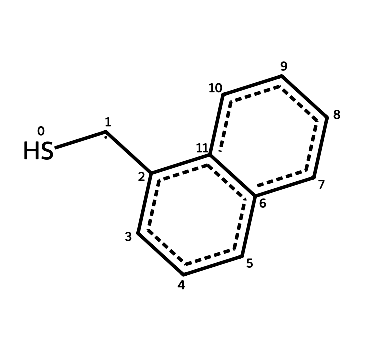 S[CH]c1cccc2ccccc12